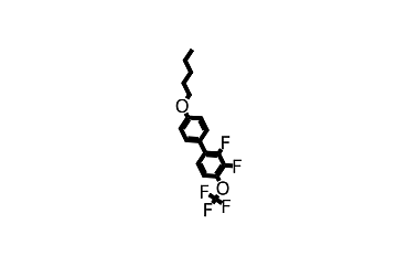 CCCCCOc1ccc(-c2ccc(OC(F)(F)F)c(F)c2F)cc1